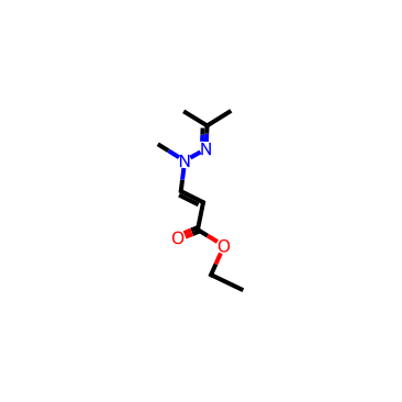 CCOC(=O)C=CN(C)N=C(C)C